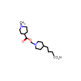 CN1CCC(C(=O)OCN2CCC(CCCC(=O)O)CC2)CC1